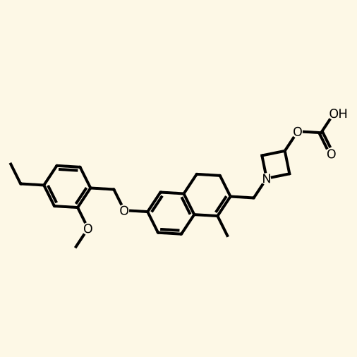 CCc1ccc(COc2ccc3c(c2)CCC(CN2CC(OC(=O)O)C2)=C3C)c(OC)c1